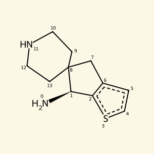 N[C@@H]1c2sccc2CC12CCNCC2